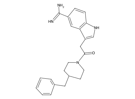 N=C(N)c1ccc2[nH]cc(CC(=O)N3CCC(Cc4ccccc4)CC3)c2c1